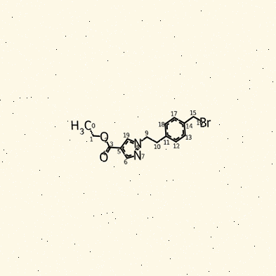 CCOC(=O)c1cnn(CCc2ccc(CBr)cc2)c1